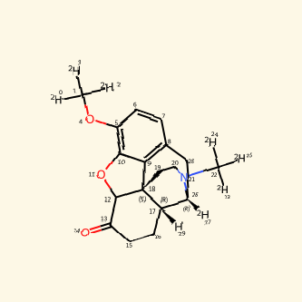 [2H]C([2H])([2H])Oc1ccc2c3c1OC1C(=O)CC[C@@H]4[C@@]31CCN(C([2H])([2H])[2H])[C@]4([2H])C2